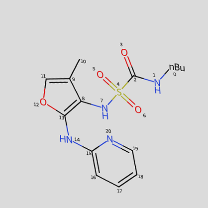 CCCCNC(=O)S(=O)(=O)Nc1c(C)coc1Nc1ccccn1